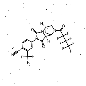 N#Cc1ccc(N2C(=O)[C@@H]3C4C[C@H](CN4C(=O)C(F)(F)C(F)(F)C(F)(F)F)N3C2=O)cc1C(F)(F)F